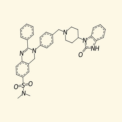 CN(C)S(=O)(=O)c1ccc2c(c1)CN(c1ccc(CN3CCC(n4c(=O)[nH]c5ccccc54)CC3)cc1)C(c1ccccc1)=N2